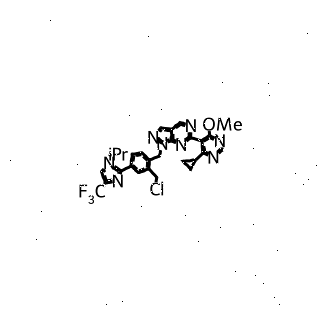 COc1ncnc(C2CC2)c1-c1ncc2cnn(Cc3ccc(-c4nc(C(F)(F)F)cn4C(C)C)cc3CCl)c2n1